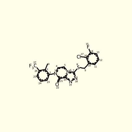 Cc1c(-n2ccn3c(SCc4cccc(F)c4Cl)nnc3c2=O)cccc1C(F)(F)F